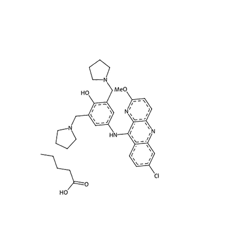 CCCCC(=O)O.COc1ccc2nc3cc(Cl)ccc3c(Nc3cc(CN4CCCC4)c(O)c(CN4CCCC4)c3)c2n1